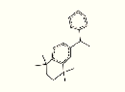 CC(c1ccccc1)c1ccc2c(c1)C(C)(C)CCC2(C)C